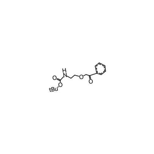 CC(C)(C)OC(=O)NCCOCC(=O)c1ccccc1